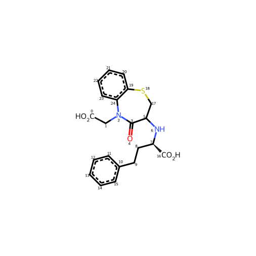 O=C(O)CN1C(=O)C(N[C@H](CCc2ccccc2)C(=O)O)CSc2ccccc21